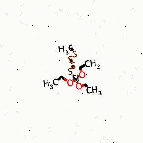 CCO[Si](OCC)(OCC)SSSSC